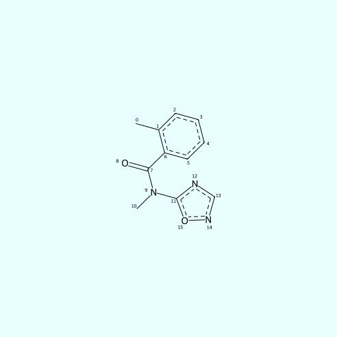 Cc1ccccc1C(=O)N(C)c1ncno1